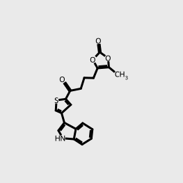 Cc1oc(=O)oc1CCCC(=O)c1cc(-c2c[nH]c3ccccc23)cs1